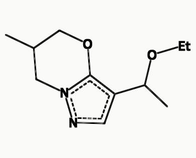 CCOC(C)c1cnn2c1OCC(C)C2